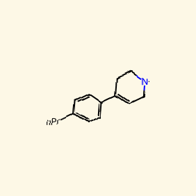 CCCc1ccc(C2=CC[N]CC2)cc1